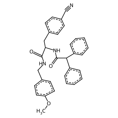 COc1ccc(CNC(=O)C(Cc2ccc(C#N)cc2)NC(=O)C(c2ccccc2)c2ccccc2)cc1